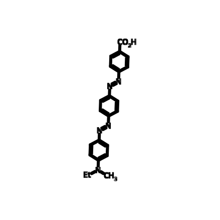 CCN(C)c1ccc(N=Nc2ccc(N=Nc3ccc(C(=O)O)cc3)cc2)cc1